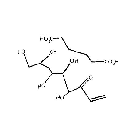 C=CC(=O)C(O)C(O)C(O)C(O)CO.O=C(O)CCCCC(=O)O